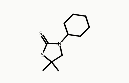 CC1(C)CN(C2CCCCC2)C(=S)S1